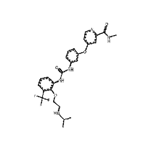 CNC(=O)c1cc(Oc2cccc(NC(=O)Nc3cccc(C(F)(F)F)c3OCCNC(C)C)c2)ccn1